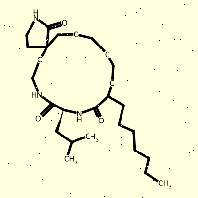 CCCCCCCC1CCCCCCC2(CCNC(=O)[C@H](CC(C)C)NC1=O)CCNC2=O